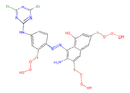 Nc1c(SOOO)cc2cc(SOOO)cc(O)c2c1/N=N/c1ccc(Nc2nc(Cl)nc(Cl)n2)cc1SOOO